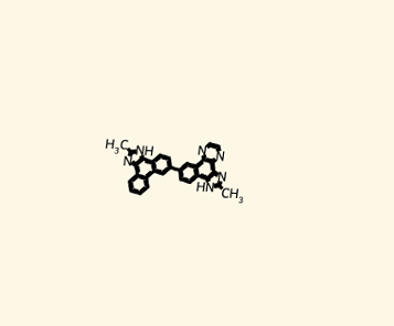 Cc1nc2c3ccccc3c3cc(-c4ccc5c(c4)c4nccnc4c4nc(C)[nH]c54)ccc3c2[nH]1